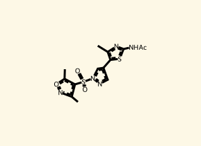 CC(=O)Nc1nc(C)c(-c2cnn(S(=O)(=O)c3c(C)noc3C)c2)s1